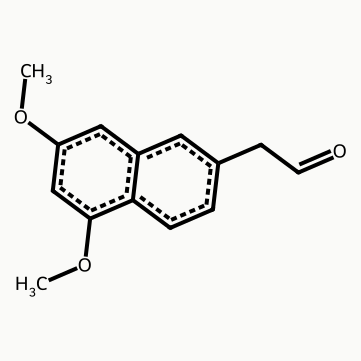 COc1cc(OC)c2ccc(CC=O)cc2c1